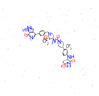 CN(C(=O)N1CCC(c2ccc(NC3CCC(=O)NC3=O)cc2C(F)(F)F)CC1)C1CCN(Cc2ccc(-c3cn(C)c(=O)c4[nH]ncc34)cc2OC(F)(F)F)CC1